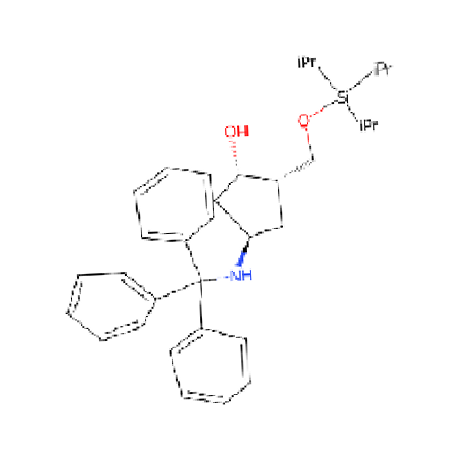 CC(C)[Si](OC[C@@H]1C[C@@H](NC(c2ccccc2)(c2ccccc2)c2ccccc2)C[C@@H]1O)(C(C)C)C(C)C